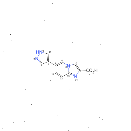 O=C(O)c1cn2cc(-c3cn[nH]c3)ccc2n1